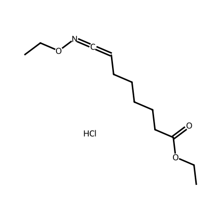 CCON=C=CCCCCCC(=O)OCC.Cl